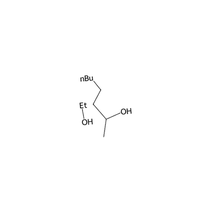 CCCCCCC(C)O.CCO